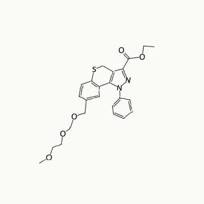 CCOC(=O)c1nn(-c2ccccc2)c2c1CSc1ccc(COCOCCOC)cc1-2